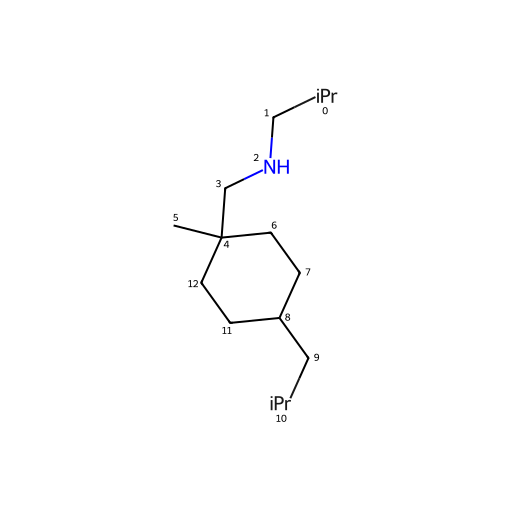 CC(C)CNCC1(C)CCC(CC(C)C)CC1